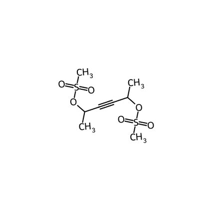 CC(C#CC(C)OS(C)(=O)=O)OS(C)(=O)=O